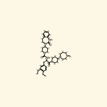 CCc1ccc(C[C@@H](NC(=O)N2CCC(N3CCc4ccccc4NC3=O)CC2)C(=O)N2CCC(N3CCCN(C)CC3)CC2)cc1CC